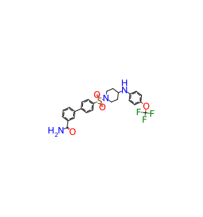 NC(=O)c1cccc(-c2ccc(S(=O)(=O)N3CCC(Nc4ccc(OC(F)(F)F)cc4)CC3)cc2)c1